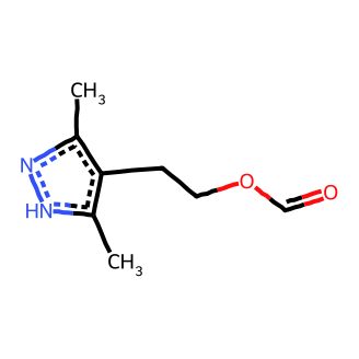 Cc1n[nH]c(C)c1CCOC=O